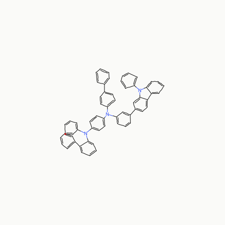 c1ccc(-c2ccc(N(c3ccc(N(c4ccccc4)c4ccccc4-c4ccccc4)cc3)c3cccc(-c4ccc5c6ccccc6n(-c6ccccc6)c5c4)c3)cc2)cc1